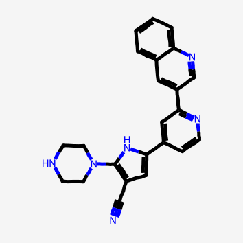 N#Cc1cc(-c2ccnc(-c3cnc4ccccc4c3)c2)[nH]c1N1CCNCC1